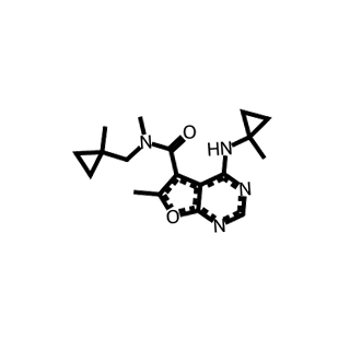 Cc1oc2ncnc(NC3(C)CC3)c2c1C(=O)N(C)CC1(C)CC1